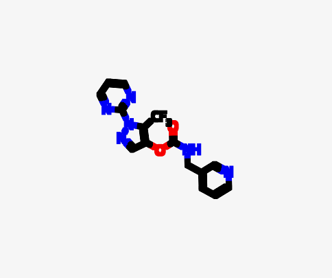 O=C(NCc1cccnc1)Oc1cnn(-c2ncccn2)c1C(F)(F)F